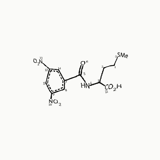 CSCCC(NC(=O)c1cc([N+](=O)[O-])cc([N+](=O)[O-])c1)C(=O)O